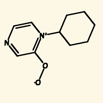 [O]Oc1cncc[n+]1C1CCCCC1